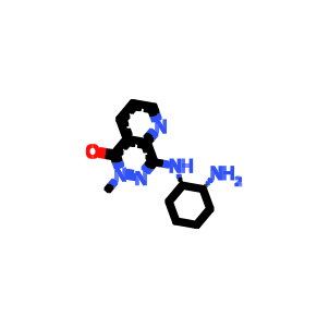 Cn1nc(N[C@H]2CCCC[C@H]2N)c2ncccc2c1=O